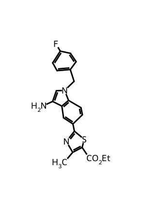 CCOC(=O)c1sc(-c2ccc3c(c2)c(N)cn3Cc2ccc(F)cc2)nc1C